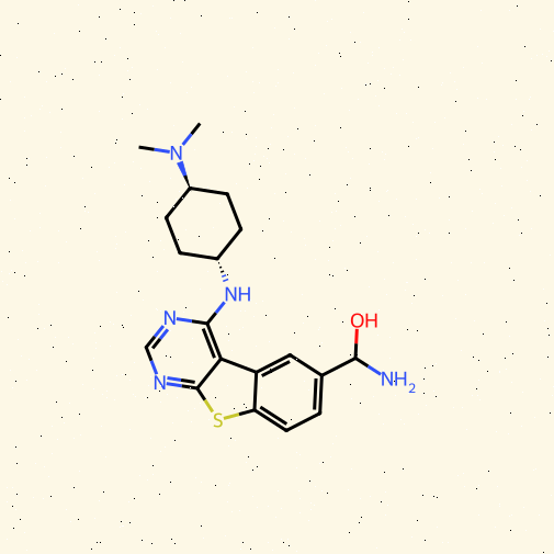 CN(C)[C@H]1CC[C@H](Nc2ncnc3sc4ccc(C(N)O)cc4c23)CC1